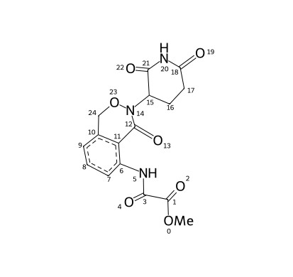 COC(=O)C(=O)Nc1cccc2c1C(=O)N(C1CCC(=O)NC1=O)OC2